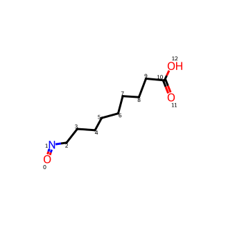 O=NCCCCCCCCC(=O)O